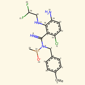 COc1ccc(CN(C(=N)c2c(Cl)ccc(N)c2NCC(F)F)[S+](C)[O-])cc1